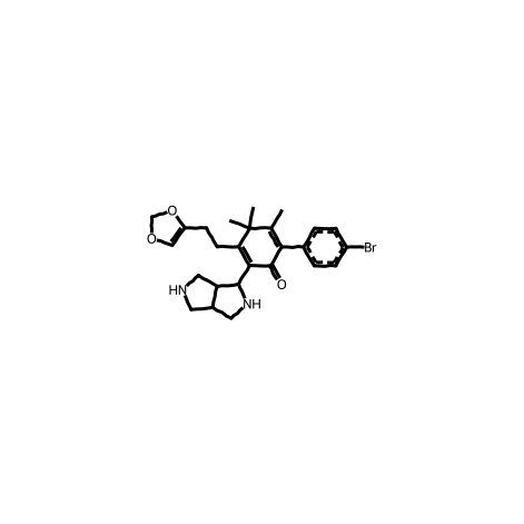 CC1=C(c2ccc(Br)cc2)C(=O)C(C2NCC3CNCC32)=C(CCC2=COCO2)C1(C)C